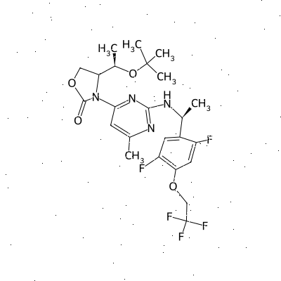 Cc1cc(N2C(=O)OCC2[C@@H](C)OC(C)(C)C)nc(N[C@@H](C)c2cc(F)c(OCC(F)(F)F)cc2F)n1